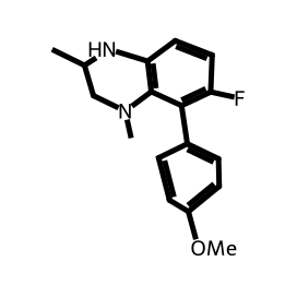 COc1ccc(-c2c(F)ccc3c2N(C)CC(C)N3)cc1